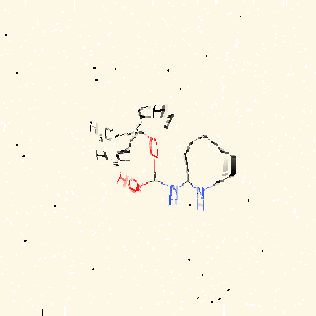 CC(C)(C)OC(O)NC1CCC=CN1